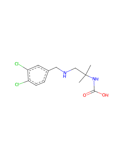 CC(C)(CNCc1ccc(Cl)c(Cl)c1)NC(=O)O